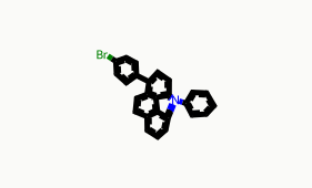 Brc1ccc(-c2ccc3c4c2ccc2cccc(c24)n3-c2ccccc2)cc1